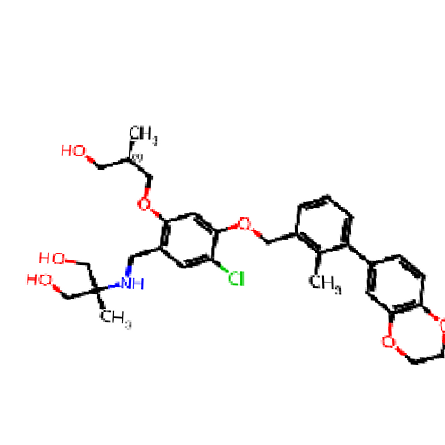 Cc1c(COc2cc(OC[C@H](C)CO)c(CNC(C)(CO)CO)cc2Cl)cccc1-c1ccc2c(c1)OCCO2